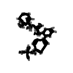 NS(=O)(=O)Nc1ccc(-c2ccccc2NC(=O)Nc2ccccc2Br)cc1